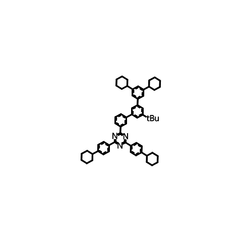 CC(C)(C)c1cc(-c2cccc(-c3nc(-c4ccc(C5CCCCC5)cc4)nc(-c4ccc(C5CCCCC5)cc4)n3)c2)cc(-c2cc(C3CCCCC3)cc(C3CCCCC3)c2)c1